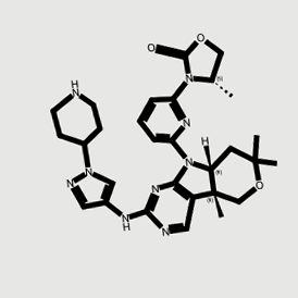 C[C@H]1COC(=O)N1c1cccc(N2c3nc(Nc4cnn(C5CCNCC5)c4)ncc3[C@@]3(C)COC(C)(C)C[C@@H]23)n1